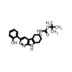 CC(C)(C)OC(=O)N[C@H]1CCc2[nH]c3nnc(-c4ccccc4O)cc3c2C1